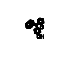 Oc1ccc2c(c1)Oc1ccccc1C2=C1C2CC3CC(C2)CC1C3